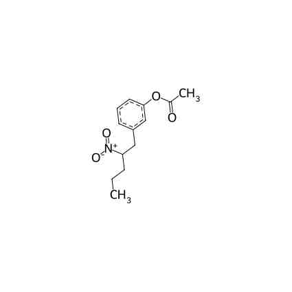 CCCC(Cc1cccc(OC(C)=O)c1)[N+](=O)[O-]